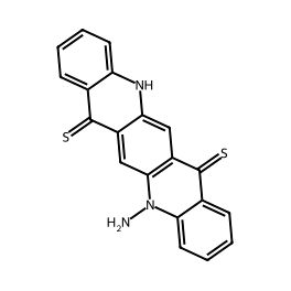 Nn1c2ccccc2c(=S)c2cc3[nH]c4ccccc4c(=S)c3cc21